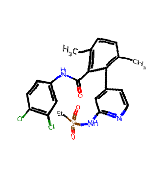 CCS(=O)(=O)Nc1cc(-c2c(C)ccc(C)c2C(=O)Nc2ccc(Cl)c(Cl)c2)ccn1